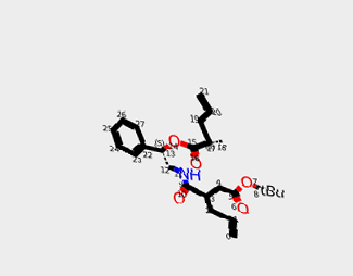 C=CCC(CC(=O)OC(C)(C)C)C(=O)NC[C@@H](OC(=O)[C@@H](C)CC=C)c1ccccc1